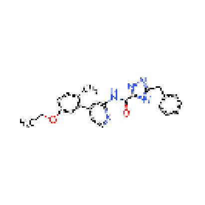 CCOc1ccc(C)c(-c2ccnc(NC(=O)c3nnc(Cc4ccccc4)[nH]3)c2)c1